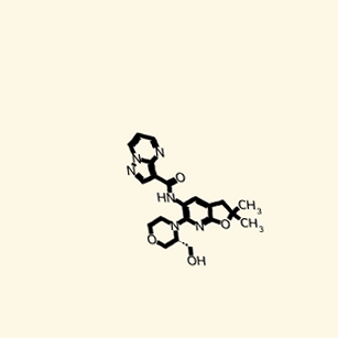 CC1(C)Cc2cc(NC(=O)c3cnn4cccnc34)c(N3CCOC[C@H]3CO)nc2O1